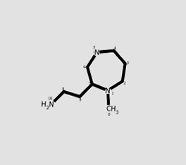 CN1CCC[N]CC1CCN